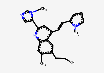 Cc1cc2nc(-c3cncn3C)cc(/C=C/c3cccn3C)c2cc1CCC#N